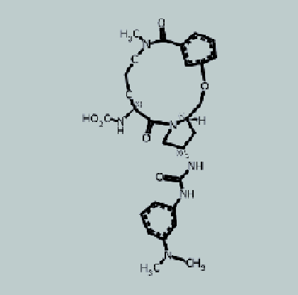 CN1CCC[C@H](NC(=O)O)C(=O)N2C[C@@H](NC(=O)Nc3cccc(N(C)C)c3)C[C@H]2COc2cccc(c2)C1=O